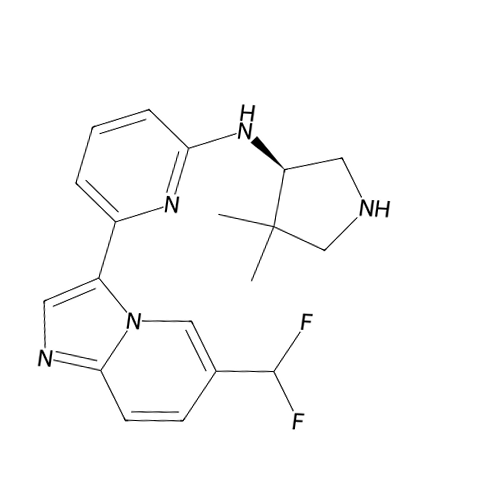 CC1(C)CNC[C@@H]1Nc1cccc(-c2cnc3ccc(C(F)F)cn23)n1